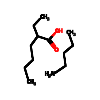 CCCCC(CC)C(=O)O.CCC[CH2][AlH2]